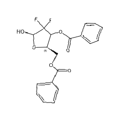 O=C(OC[C@H]1OC(O)C(F)(F)C1OC(=O)c1ccccc1)c1ccccc1